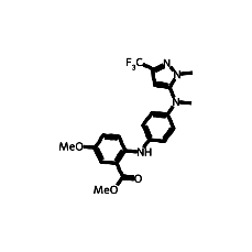 COC(=O)c1cc(OC)ccc1Nc1ccc(N(C)c2cc(C(F)(F)F)nn2C)cc1